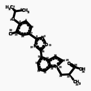 CC(C)Oc1ccc(-c2noc(-c3cccc4c3ccn4C[C@H](C)C(=O)O)n2)cc1Cl